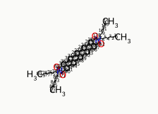 CCCCCCCC(CCCCCCC)N1C(=O)c2ccc3c4ccc5c6ccc7c8ccc9c%10ccc%11c%12c(ccc(c%13ccc(c%14ccc(c%15ccc(c%16ccc(c2c3%16)C1=O)c4c5%15)c6c7%14)c8c9%13)c%12%10)C(=O)N(C(CCCCCCC)CCCCCCC)C%11=O